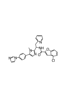 Cn1c(-c2ccc(-n3ccnc3)cc2)cnc1C(Cc1ccccn1)NC(=O)c1cc2c(Cl)cccc2o1